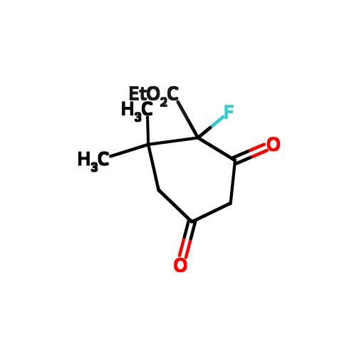 CCOC(=O)C1(F)C(=O)CC(=O)CC1(C)C